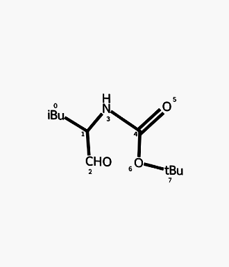 CCC(C)C(C=O)NC(=O)OC(C)(C)C